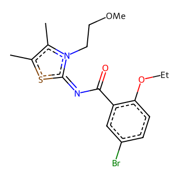 CCOc1ccc(Br)cc1C(=O)N=c1sc(C)c(C)n1CCOC